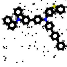 c1ccc(-c2ccc(-c3ccc(N(c4ccc(-c5ccc6c(c5)c5ccccc5n6-c5cccc6ccccc56)cc4)c4ccc5sc6ccccc6c5c4)cc3)cc2)cc1